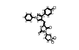 O=C1/C(=C/c2cn(-c3ccccc3)nc2-c2ccc(Cl)cc2)SC(=S)N1C1CCS(=O)(=O)C1